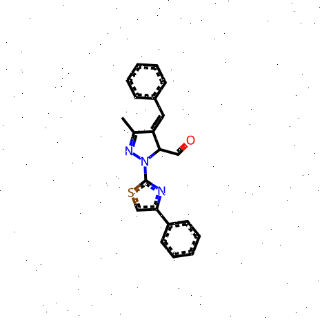 CC1=NN(c2nc(-c3ccccc3)cs2)C(C=O)C1=Cc1ccccc1